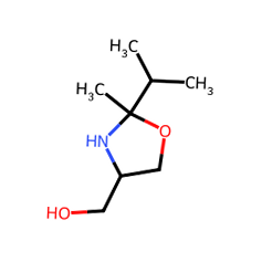 CC(C)C1(C)NC(CO)CO1